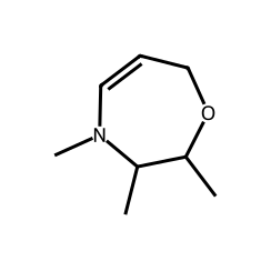 CC1OCC=CN(C)C1C